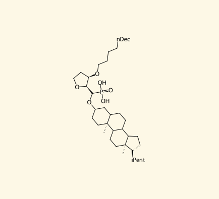 CCCCCCCCCCCCCCO[C@@H]1CCO[C@@H]1C(OC1CC[C@@]2(C)C(CCC3C2CC[C@@]2(C)C3CC[C@@H]2[C@H](C)CCC)C1)P(=O)(O)O